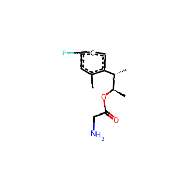 Cc1cc(F)ccc1[C@H](C)[C@@H](C)OC(=O)CN